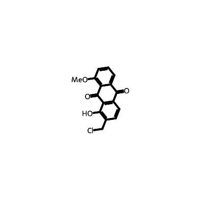 COc1cccc2c1C(=O)c1c(ccc(CCl)c1O)C2=O